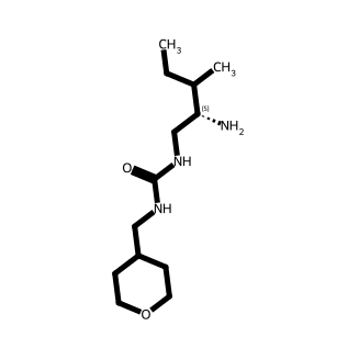 CCC(C)[C@H](N)CNC(=O)NCC1CCOCC1